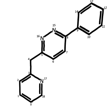 [c]1ccc(Cc2ccc(-c3ccccc3)nn2)nc1